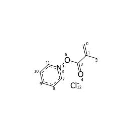 C=C(C)C(=O)O[n+]1ccccc1.[Cl-]